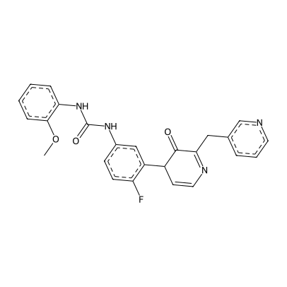 COc1ccccc1NC(=O)Nc1ccc(F)c(C2C=CN=C(Cc3cccnc3)C2=O)c1